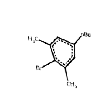 CCCCc1cc(C)c(Br)c(C)c1